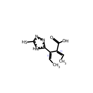 C/C=C(C(=O)O)\C(=C/C)c1nnc(S)[nH]1